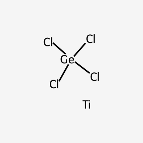 [Cl][Ge]([Cl])([Cl])[Cl].[Ti]